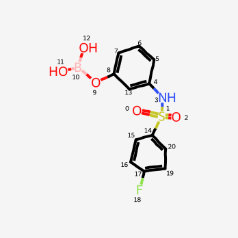 O=S(=O)(Nc1cccc(OB(O)O)c1)c1ccc(F)cc1